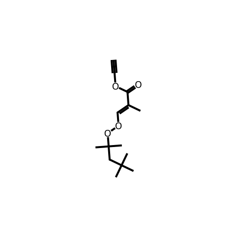 C#COC(=O)C(C)=COOC(C)(C)CC(C)(C)C